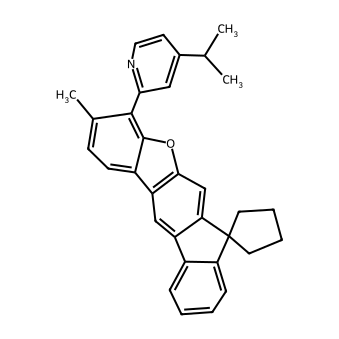 Cc1ccc2c(oc3cc4c(cc32)-c2ccccc2C42CCCC2)c1-c1cc(C(C)C)ccn1